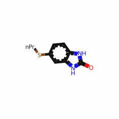 CCCSc1ccc2[nH]c(=O)[nH]c2c1